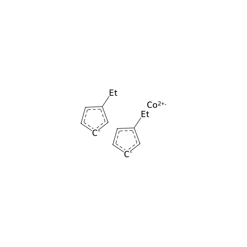 CCc1cc[cH-]c1.CCc1cc[cH-]c1.[Co+2]